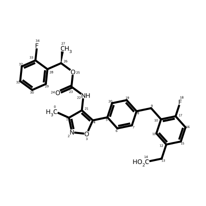 Cc1noc(-c2ccc(Cc3cc(CC(=O)O)ccc3F)cc2)c1NC(=O)O[C@H](C)c1ccccc1F